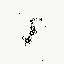 CC(CCN1CCC2(CC1)COc1cc(OCc3c(Cl)cc(Cl)cc3Cl)ccc12)C(=O)O